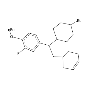 CCCCOc1ccc(C(CC2CC=CCC2)C2CCC(CC)CC2)cc1F